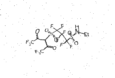 CCNS(=O)(=O)C(F)(F)C(F)(F)C(F)(F)S(=O)(=O)C(C(=O)C(F)(F)F)C(=O)C(F)(F)F